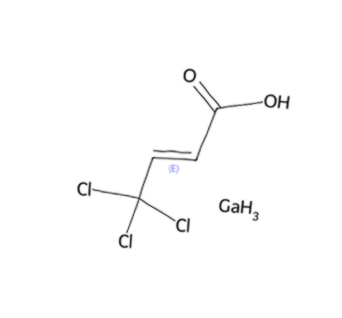 O=C(O)/C=C/C(Cl)(Cl)Cl.[GaH3]